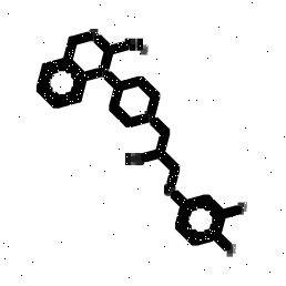 NC1SCc2ccccc2N1C1CCN(CC(O)COc2ccc(F)c(F)c2)CC1